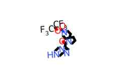 O=C(OC(C(F)(F)F)C(F)(F)F)N1CCC2(CCCN2C(=O)c2cnc3n2CCNC3)CC1